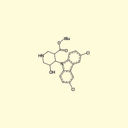 CC(C)(C)OC(=O)C1CNCC(O)C1n1c2ccc(Cl)cc2c2cc(Cl)ccc21